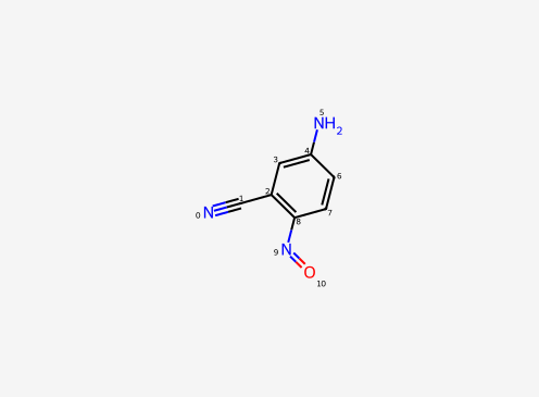 N#Cc1cc(N)ccc1N=O